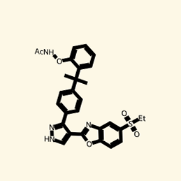 CCS(=O)(=O)c1ccc2oc(-c3c[nH]nc3-c3ccc(C(C)(C)c4ccccc4ONC(C)=O)cc3)nc2c1